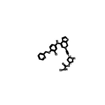 CCNC(=O)O[C@@H]1CN[C@@H](C#CN2C=C(Nc3ccc(OCc4ccccn4)c(Cl)c3)c3ccsc3C2)C1